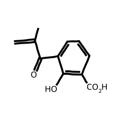 C=C(C)C(=O)c1cccc(C(=O)O)c1O